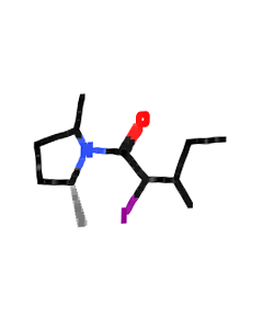 CCC(C)C(I)C(=O)N1C(C)CC[C@H]1C